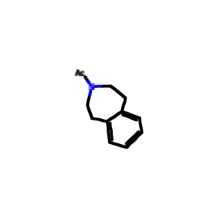 CC(=O)N1CCc2ccccc2CC1